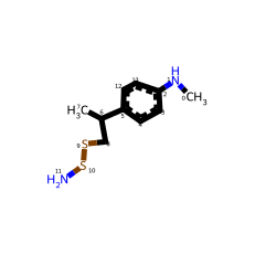 CNc1ccc(C(C)CSSN)cc1